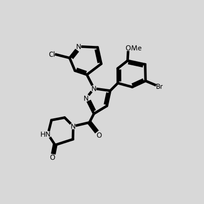 COc1cc(Br)cc(-c2cc(C(=O)N3CCNC(=O)C3)nn2-c2ccnc(Cl)c2)c1